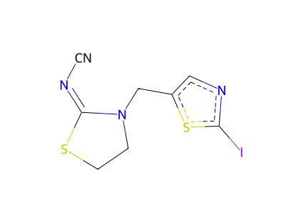 N#C/N=C1/SCCN1Cc1cnc(I)s1